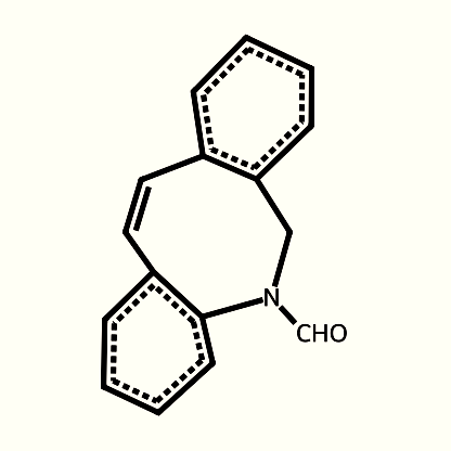 O=CN1Cc2ccccc2/C=C\c2ccccc21